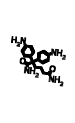 NC(=O)CCCC(C(N)=O)(c1ccc(N)cc1)c1ccc(N)cc1